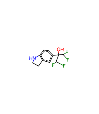 OC(c1ccc2c(c1)CCN2)(C(F)F)C(F)F